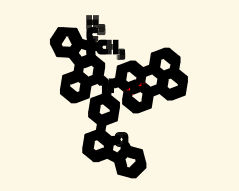 CC1(C)c2ccccc2-c2c1cc(N(c1ccc(-c3cccc4c3oc3ccccc34)cc1)c1ccc(-c3cccc4cccc(-c5ccccc5)c34)cc1)c1ccccc21